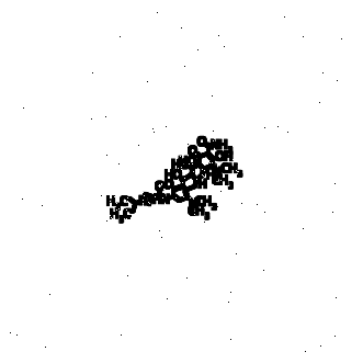 CCC(CC)N1CC(C(=O)Nc2cc(N(C)C)c3c(c2O)C(=O)C2=C(O)[C@]4(O)C(=O)C(C(N)=O)=C(O)[C@@H](N(C)C)[C@@H]4C[C@@H]2C3)C1